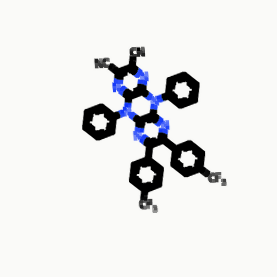 N#Cc1nc2c(nc1C#N)N(c1ccccc1)c1nc(-c3ccc(C(F)(F)F)cc3)c(-c3ccc(C(F)(F)F)cc3)nc1N2c1ccccc1